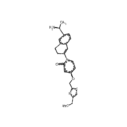 COCc1csc(COc2ccn(C3=Cc4ccc(C(C)N)cc4CC3)c(=O)c2)n1